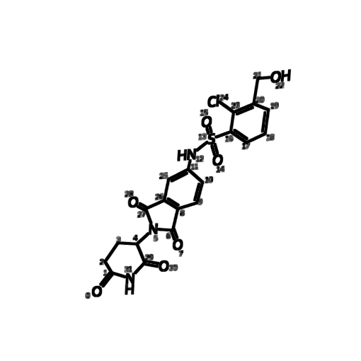 O=C1CCC(N2C(=O)c3ccc(NS(=O)(=O)c4cccc(CO)c4Cl)cc3C2=O)C(=O)N1